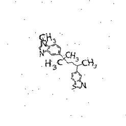 CC(CCC(C)(C)c1ccc2c(c1)ncn2C)c1ccc2scnc2c1